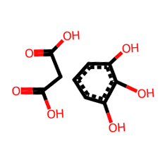 O=C(O)CC(=O)O.Oc1cccc(O)c1O